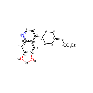 CCOC(=O)C=C1CCC(c2ccnc3cc4c(cc23)OCO4)CC1